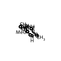 COc1cc(-c2ccc3[nH]ccc3c2)ccc1Oc1nc(Nc2ccc(OCCCN3CCN(C)CC3)c(F)c2)ncc1C(=O)Nc1c(C)cccc1C